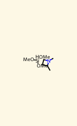 CC1CCN1C.CO[SiH](OC)OC